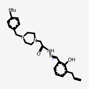 C=CCc1cccc(/C=N/NC(=O)CN2CCN(Cc3ccc(C(C)(C)C)cc3)CC2)c1O